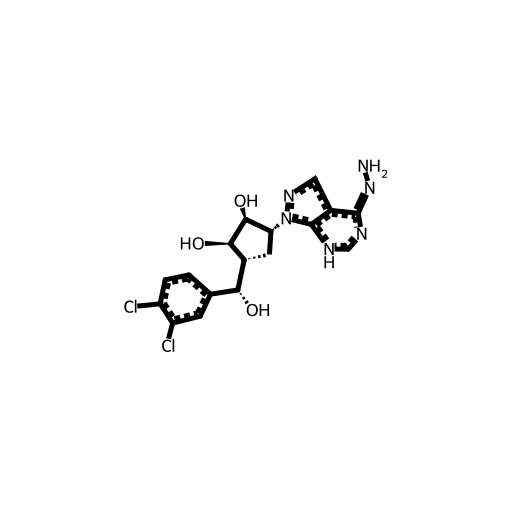 N/N=c1/nc[nH]c2c1cnn2[C@@H]1C[C@H]([C@H](O)c2ccc(Cl)c(Cl)c2)[C@@H](O)[C@H]1O